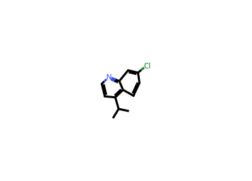 CC(C)c1ccnc2cc(Cl)ccc12